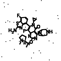 C[C@H](Oc1nc(N2C3CCC2CNC3)c2c(=O)n(C3CC3)c(-c3ccc(F)c4sc(N)nc34)c(F)c2n1)[C@@H]1CCCN1C